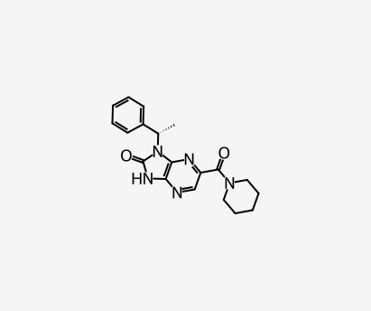 C[C@@H](c1ccccc1)n1c(=O)[nH]c2ncc(C(=O)N3CCCCC3)nc21